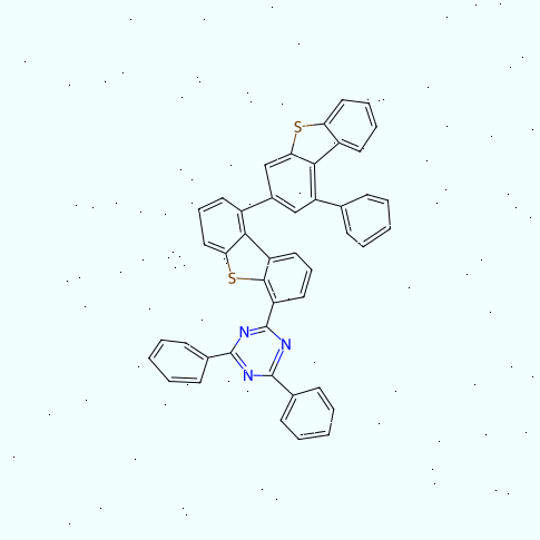 c1ccc(-c2nc(-c3ccccc3)nc(-c3cccc4c3sc3cccc(-c5cc(-c6ccccc6)c6c(c5)sc5ccccc56)c34)n2)cc1